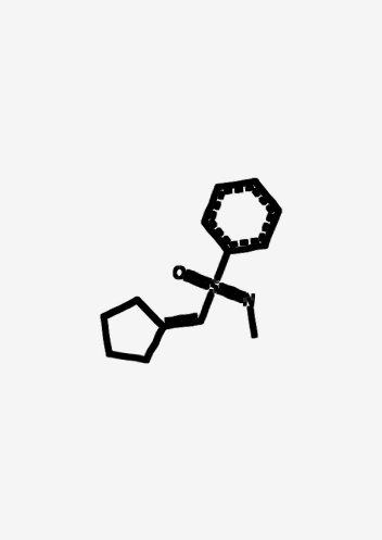 CN=S(=O)(C=C1CCCC1)c1ccccc1